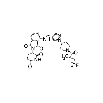 CC1(C(=O)N2CCC(n3cc(CNc4cccc5c4C(=O)N(C4CCC(=O)NC4=O)C5=O)cn3)CC2)CC(F)(F)C1